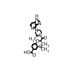 COc1cc(C(=O)O)ccc1O[C@@H](C)C(=O)N1CCN(c2nccc3[nH]cnc23)C[C@H]1C